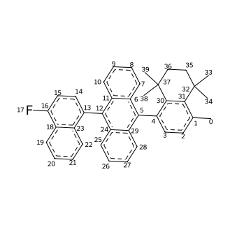 Cc1ccc(-c2c3ccccc3c(-c3ccc(F)c4ccccc34)c3ccccc23)c2c1C(C)(C)CCC2(C)C